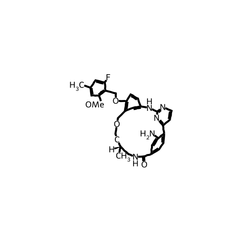 COc1cc(C)cc(F)c1COc1ccc2cc1COCC[C@@H](C)CNC(=O)c1ccc(c(N)c1)-c1ccnc(n1)N2